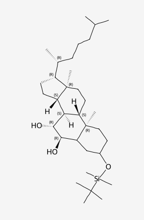 CC(C)CCC[C@@H](C)[C@H]1CC[C@H]2[C@@H]3[C@@H](O)[C@H](O)C4CC(O[Si](C)(C)C(C)(C)C)CC[C@]4(C)[C@H]3CC[C@]12C